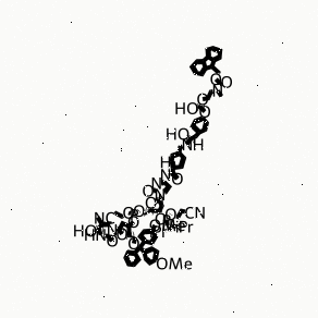 COc1ccc(C(OC[C@H]2O[C@@H](N3C=C(C)[C@@H](O)NC3=O)CC2OP(OCCC#N)OC[C@H]2O[C@@H](n3ccc(NC(=O)c4ccc(CN[C@H](O)Cc5ccc(O[C@@H](O)OCCN(C)C(=O)OCC6c7ccccc7-c7ccccc76)cc5)cc4)nc3=O)CC2OP(OCCC#N)N(C(C)C)C(C)C)(c2ccccc2)c2ccc(OC)cc2)cc1